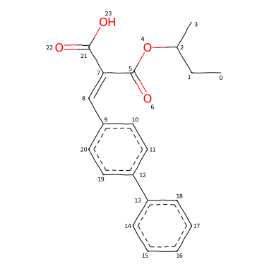 CCC(C)OC(=O)C(=Cc1ccc(-c2ccccc2)cc1)C(=O)O